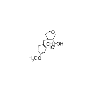 COc1ccc(CC2(C)CCOCC2C(O)O)cc1